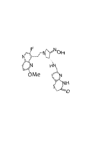 COc1ccc2ncc(F)c(CCN3CC(=NO)[C@H](CNCc4ccc5c(n4)NC(=O)CS5)C3)c2n1